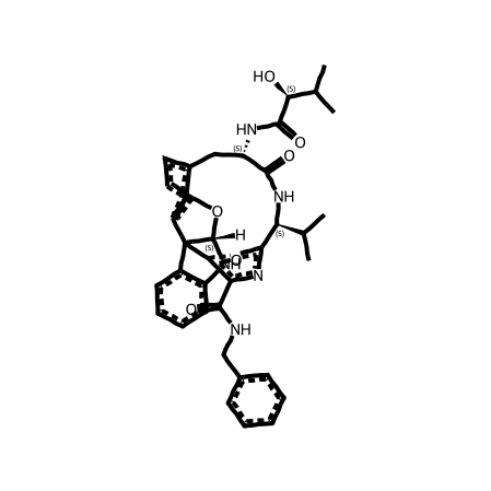 CC(C)[C@H](O)C(=O)N[C@H]1Cc2ccc3c(c2)C2(c4ccccc4N[C@H]2O3)c2oc(nc2C(=O)NCc2ccccc2)[C@H](C(C)C)NC1=O